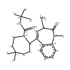 CN1C(=O)C(N)N=C(C2CCC(C)(C)CCN2C(=O)OC(C)(C)C)c2ccccc21